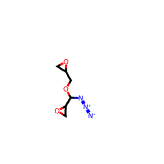 [N-]=[N+]=NC(OCC1CO1)C1CO1